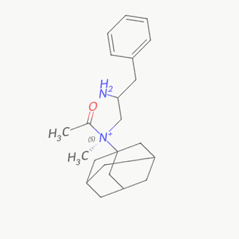 CC(=O)[N@@+](C)(CC(N)Cc1ccccc1)C12CC3CC(CC(C3)C1)C2